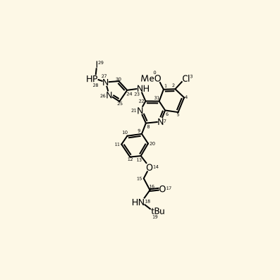 COc1c(Cl)ccc2nc(-c3cccc(OCC(=O)NC(C)(C)C)c3)nc(Nc3cnn(PI)c3)c12